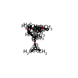 C=CC(=O)O[C@@H]1C[C@H](OC(=O)C=C)C[C@H](OC(=O)CCSCC(=O)NC(C(=O)NCC(=O)Nc2ccc(COC(=O)N(C)C(C(=O)NCC(=O)N(C)C([C@H](C)CC)[C@@H](CC(=O)N3CCC[C@H]3[C@H](OC)[C@@H](C)C(=O)N[C@H](C)[C@@H](O)c3ccccc3)OC)C(C)C)cc2)C(C)C)C1